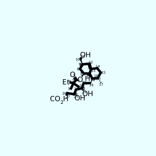 CCC(C)(C)C(=O)O[C@H]1C[C@@H](CO)C=C2CC[C@H](C)[C@H](CC[C@@H](O)C[C@@H](O)CC(=O)O)[C@H]21